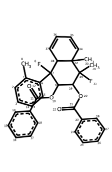 Cc1ccccc1C1(F)C(OC(=O)c2ccccc2)C(OC(=O)c2ccccc2)C(C)(F)C2(C)C=CC=CC12